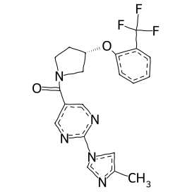 Cc1cn(-c2ncc(C(=O)N3CC[C@H](Oc4ccccc4C(F)(F)F)C3)cn2)cn1